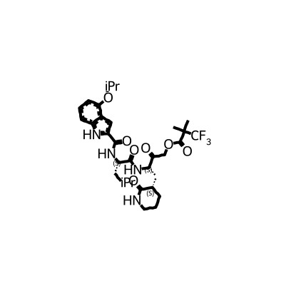 CC(C)C[C@H](NC(=O)c1cc2c(OC(C)C)cccc2[nH]1)C(=O)N[C@@H](C[C@@H]1CCCNC1=O)C(=O)COC(=O)C(C)(C)C(F)(F)F